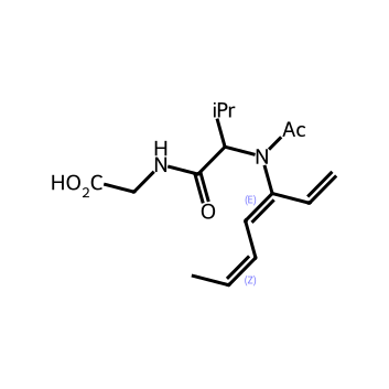 C=C/C(=C\C=C/C)N(C(C)=O)C(C(=O)NCC(=O)O)C(C)C